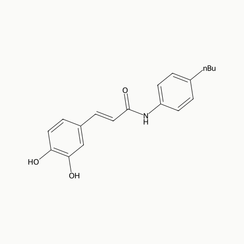 CCCCc1ccc(NC(=O)C=Cc2ccc(O)c(O)c2)cc1